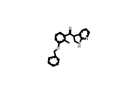 Cc1c(OCc2ccccc2)cccc1C(=O)C1CNc2ncccc21